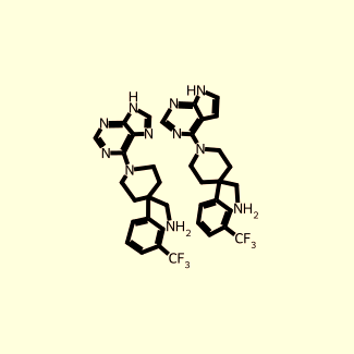 NCC1(c2cccc(C(F)(F)F)c2)CCN(c2ncnc3[nH]ccc23)CC1.NCC1(c2cccc(C(F)(F)F)c2)CCN(c2ncnc3[nH]cnc23)CC1